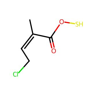 CC(=CCCl)C(=O)OS